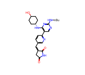 CCCCNc1ncc(-c2ccc(/C=C3/CC(=O)NC3=O)cn2)c(N[C@H]2CC[C@H](O)CC2)n1